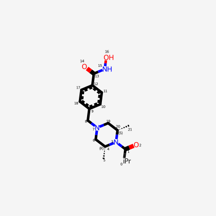 CC(C)C(=O)N1[C@H](C)CN(Cc2ccc(C(=O)NO)cc2)C[C@@H]1C